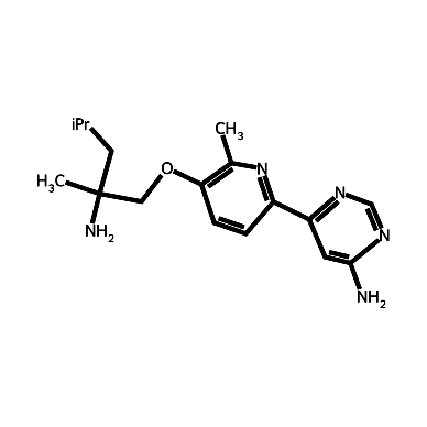 Cc1nc(-c2cc(N)ncn2)ccc1OCC(C)(N)CC(C)C